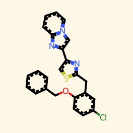 Clc1ccc(OCc2ccccc2)c(Cc2nc(-c3cn4ccccc4n3)cs2)c1